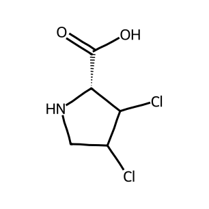 O=C(O)[C@H]1NCC(Cl)C1Cl